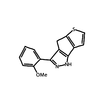 COc1ccccc1-c1n[nH]c2c1Cc1sccc1-2